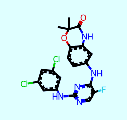 CC1(C)Oc2ccc(Nc3nc(Nc4cc(Cl)cc(Cl)c4)ncc3F)cc2NC1=O